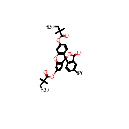 CC(C)c1ccc2c(c1)C(=O)OC21c2ccc(OC(=O)C(C)(C)CC(C)(C)C)cc2Oc2cc(OC(=O)C(C)(C)CC(C)(C)C)ccc21